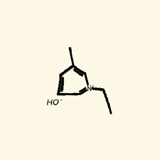 CC[n+]1cccc(C)c1.[OH-]